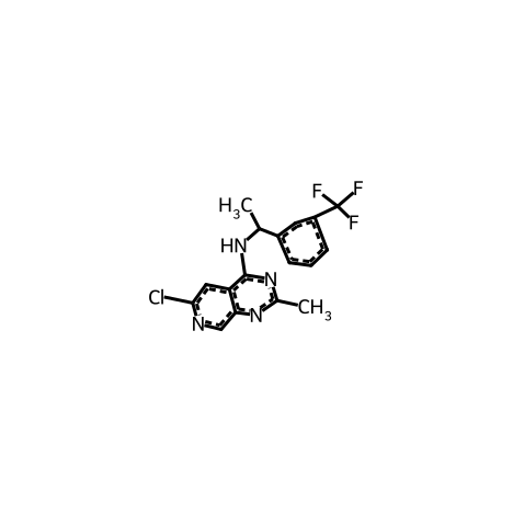 Cc1nc(NC(C)c2cccc(C(F)(F)F)c2)c2cc(Cl)ncc2n1